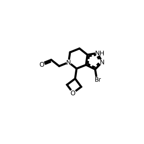 O=CCN1CCc2[nH]nc(Br)c2C1C1COC1